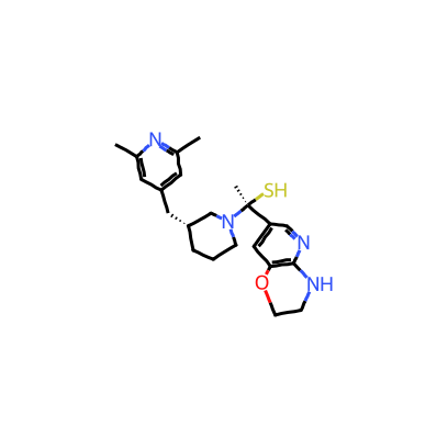 Cc1cc(C[C@H]2CCCN([C@@](C)(S)c3cnc4c(c3)OCCN4)C2)cc(C)n1